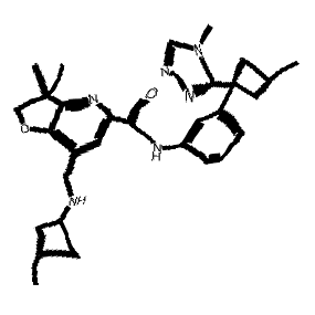 CC1CC(NCc2cc(C(=O)Nc3cccc(C4(c5nncn5C)CC(C)C4)c3)nc3c2OCC3(C)C)C1